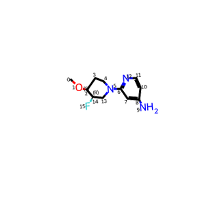 CO[C@H]1CCN(c2cc(N)ccn2)C[C@H]1F